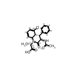 CC(=O)NC(Cc1ccccc1)C(=O)N(C1C=CC=C(Cl)C1)[C@@H](C)C(=O)O